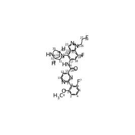 COc1cccc(F)c1-c1nccc(C(=O)Nc2cc(F)c3c(cnn3CCF)c2N2C[C@@H]3C[C@H]2CN3)n1